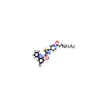 CC(=O)NCCC(=O)N1CCC(c2nc(C(=O)Nc3ccc(C)cc3-c3ccccc3)cs2)CC1